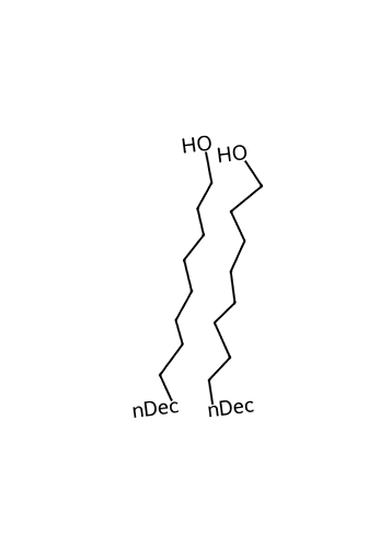 CCCCCCCCCCCCCCCCCCO.CCCCCCCCCCCCCCCCCCO